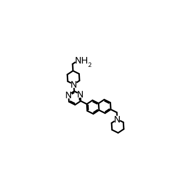 NCC1CCN(c2nccc(-c3ccc4cc(CN5CCCCC5)ccc4c3)n2)CC1